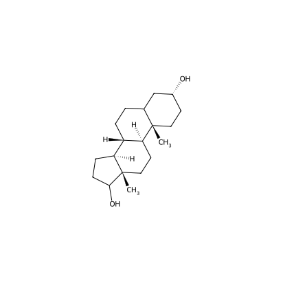 C[C@]12CC[C@@H](O)CC1CC[C@@H]1[C@@H]2CC[C@]2(C)C(O)CC[C@@H]12